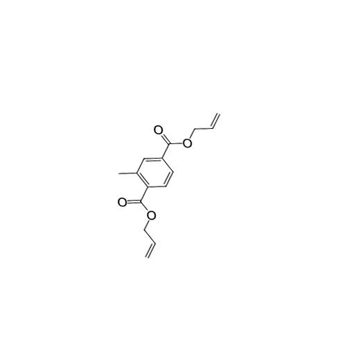 C=CCOC(=O)c1ccc(C(=O)OCC=C)c(C)c1